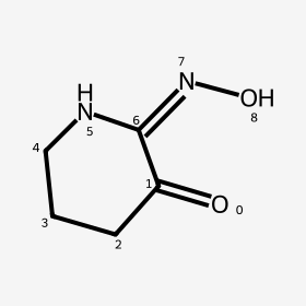 O=C1CCCNC1=NO